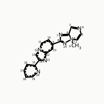 C[N+]12C=CN=CC1=NC(c1ccn3cc(-c4ccccn4)nc3c1)=N2